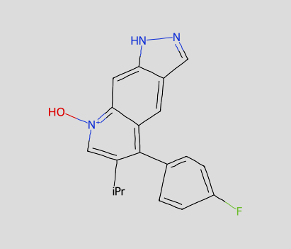 CC(C)c1c[n+](O)c2cc3[nH]ncc3cc2c1-c1ccc(F)cc1